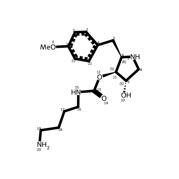 COc1ccc(C[C@H]2NC[C@H](O)[C@H]2OC(=O)NCCCCN)cc1